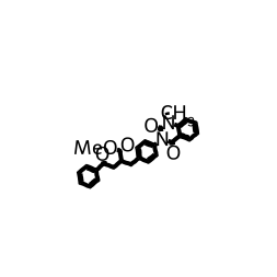 COC(=O)C(CC(=O)c1ccccc1)Cc1ccc(-n2c(=O)c3ccccc3n(C)c2=O)cc1